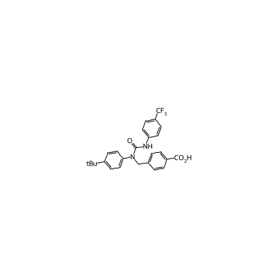 CC(C)(C)c1ccc(N(Cc2ccc(C(=O)O)cc2)C(=O)Nc2ccc(C(F)(F)F)cc2)cc1